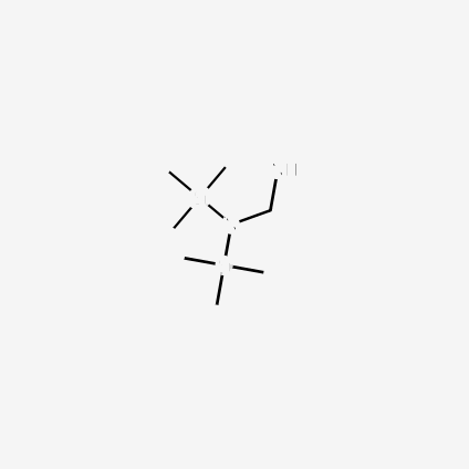 C[Si](C)(C)N(C[NH])[Si](C)(C)C